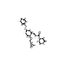 O=C(C=Cc1cc(OCc2ccccc2)ccc1OCC1CO1)c1ccccc1